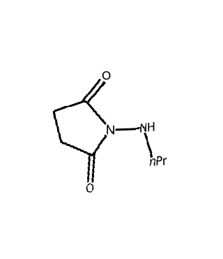 CCCNN1C(=O)CCC1=O